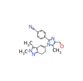 Cc1c2c(nn1C)CCC(n1c(-c3ccc(C#N)cc3)nc(C=O)c1C)=C2